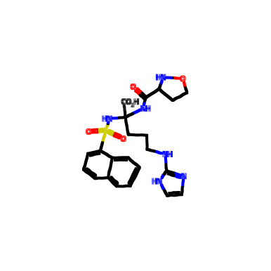 O=C(NC(CCCNc1ncc[nH]1)(NS(=O)(=O)c1cccc2ccccc12)C(=O)O)C1CCON1